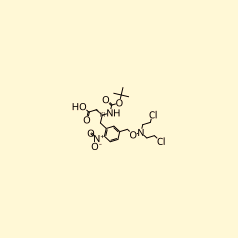 CC(C)(C)OC(=O)N[C@H](CC(=O)O)Cc1cc(CON(CCCl)CCCl)ccc1[N+](=O)[O-]